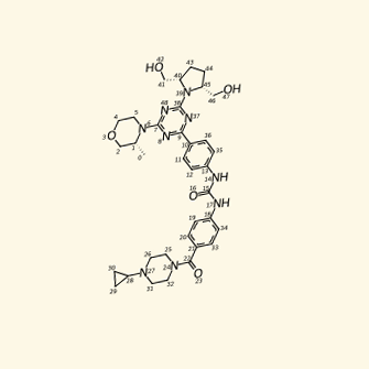 C[C@@H]1COCCN1c1nc(-c2ccc(NC(=O)Nc3ccc(C(=O)N4CCN(C5CC5)CC4)cc3)cc2)nc(N2[C@H](CO)CC[C@@H]2CO)n1